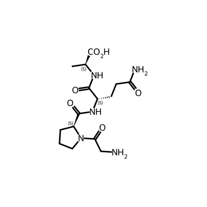 C[C@H](NC(=O)[C@H](CCC(N)=O)NC(=O)[C@@H]1CCCN1C(=O)CN)C(=O)O